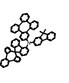 CC1(C)c2ccccc2-c2ccc(N(c3ccc4c(c3)-c3ccccc3-c3ccccc3-c3ccccc3-4)c3cccc4c3-c3ccccc3C43c4ccccc4-c4ccccc4-c4ccccc43)cc21